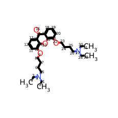 CCN(CC)CCCCOc1cccc2c(=O)c3cccc(OCCCCN(CC)CC)c3oc12